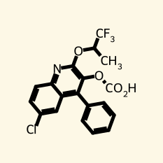 CC(Oc1nc2ccc(Cl)cc2c(-c2ccccc2)c1OC(=O)O)C(F)(F)F